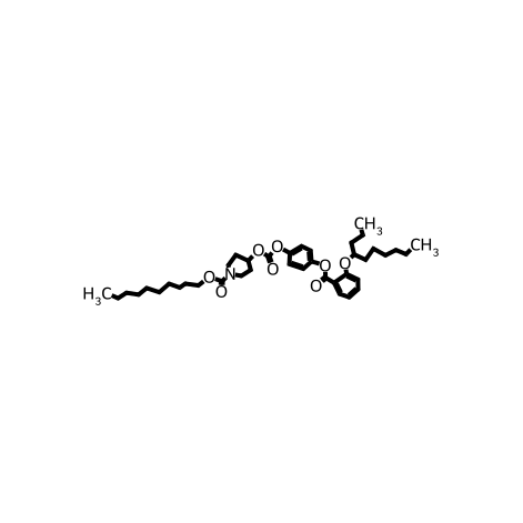 CCCCCCCCCCOC(=O)N1CCC(OC(=O)Oc2ccc(OC(=O)c3ccccc3OC(CCC)CCCCCC)cc2)CC1